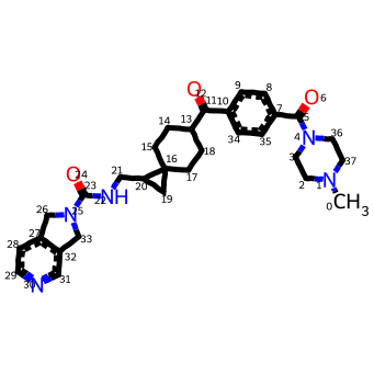 CN1CCN(C(=O)c2ccc(C(=O)C3CCC4(CC3)CC4CNC(=O)N3Cc4ccncc4C3)cc2)CC1